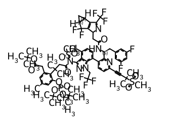 Cc1cc(CC(=O)OC(C)(C)C)c(C(C)(C)CC(=O)N(c2nn(CC(F)(F)F)c3c(-c4ccc(C#CC(C)(C)S(C)(=O)=O)nc4[C@H](Cc4cc(F)cc(F)c4)NC(=O)CC4N=C(C(F)(F)F)C5=C4C(F)(F)[C@@H]4C[C@H]54)ccc(Cl)c23)S(C)(=O)=O)c(OP(=O)(OC(C)(C)C)OC(C)(C)C)c1